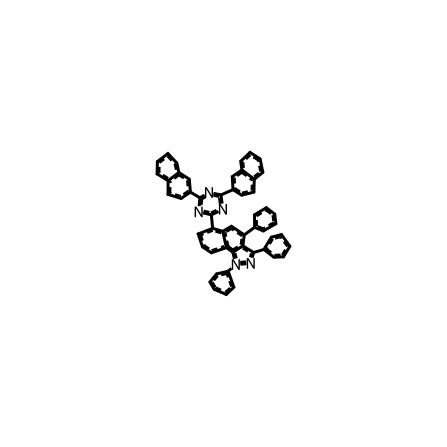 c1ccc(-c2cc3c(-c4nc(-c5ccc6ccccc6c5)nc(-c5ccc6ccccc6c5)n4)cccc3c3c2c(-c2ccccc2)nn3-c2ccccc2)cc1